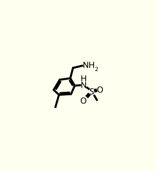 Cc1ccc(CN)c(NS(C)(=O)=O)c1